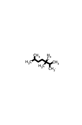 [CH2]C(C)C(C)(C)CCC(C)C